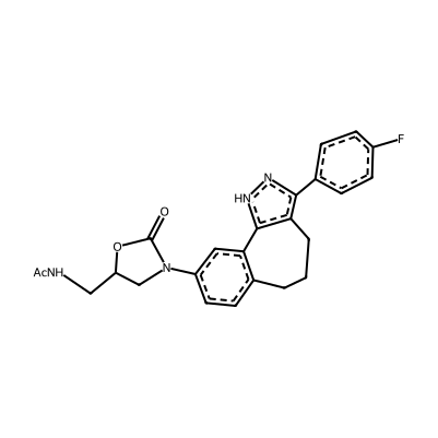 CC(=O)NCC1CN(c2ccc3c(c2)-c2[nH]nc(-c4ccc(F)cc4)c2CCC3)C(=O)O1